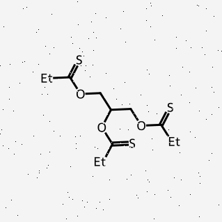 CCC(=S)OCC(COC(=S)CC)OC(=S)CC